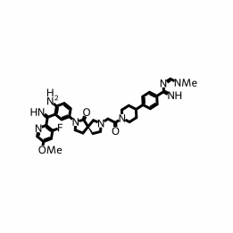 CN/C=N\C(=N)c1ccc(C2CCN(C(=O)CN3CC[C@]4(CCN(c5ccc(N)c(C(=N)c6ncc(OC)cc6F)c5)C4=O)C3)CC2)cc1